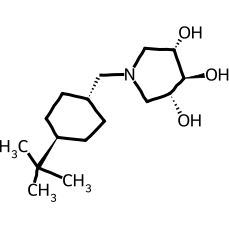 CC(C)(C)[C@H]1CC[C@H](CN2C[C@@H](O)[C@H](O)[C@@H](O)C2)CC1